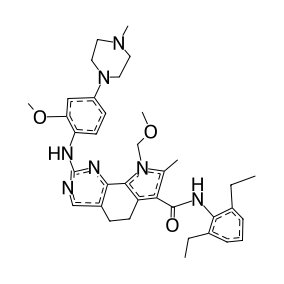 CCc1cccc(CC)c1NC(=O)c1c2c(n(COC)c1C)-c1nc(Nc3ccc(N4CCN(C)CC4)cc3OC)ncc1CC2